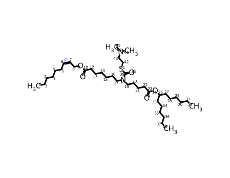 CCCCCC/C=C\COC(=O)CCCCCCN(CCCCC(=O)OC(CCCCCC)CCCCCC)C(=O)SCCN(C)C